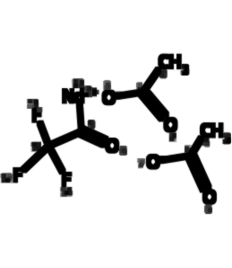 CC(=O)[O-].CC(=O)[O-].O=[C]([Nd+2])C(F)(F)F